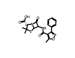 Cc1onc(-c2ccccc2)c1C(=O)NC1C(=O)N2C1SC(C)(C)[C@@H]2C(=O)O